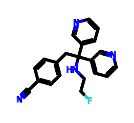 N#Cc1ccc(CC(NCCF)(c2cccnc2)c2cccnc2)cc1